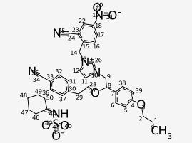 CCCOc1ccc(C(Cn2cc[n+](Cc3ccc([N+](=O)[O-])cc3C#N)c2)OCCc2ccc(C#N)cc2)cc1.O=S(=O)([O-])NC1CCCCC1